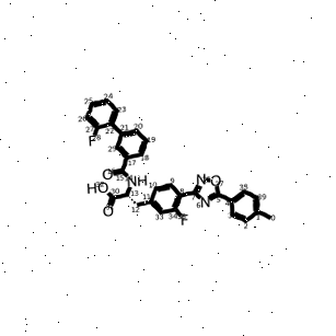 Cc1ccc(-c2nc(-c3ccc(C[C@@H](NC(=O)c4cccc(-c5ccccc5F)c4)C(=O)O)cc3F)no2)cc1